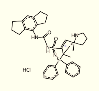 CC(C)(C)[Si](N=S(=O)(/C=C/[C@@]1(C)CCCN1)NC(=O)Nc1c2c(cc3c1CCC3)CCC2)(c1ccccc1)c1ccccc1.Cl